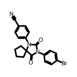 N#Cc1ccc(N2C(=O)N(c3ccc(Br)cc3)C(=O)C23CCCC3)cc1